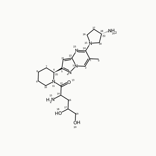 Cc1cn2nc([C@@H]3CCCCN3C(=O)C(N)CC(O)CO)cc2nc1N1CC[C@H](N)C1